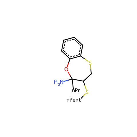 CCCCCSC1CSc2ccccc2OC1(N)CCC